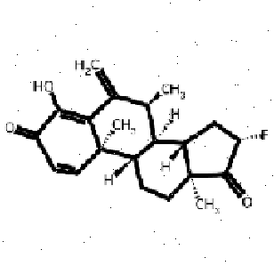 C=C1C2=C(O)C(=O)C=C[C@]2(C)[C@H]2CC[C@]3(C)C(=O)[C@@H](F)C[C@H]3[C@@H]2[C@@H]1C